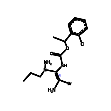 CCCN(N)/C(NC(=O)OC(C)c1ccccc1Cl)=C(\N)Br